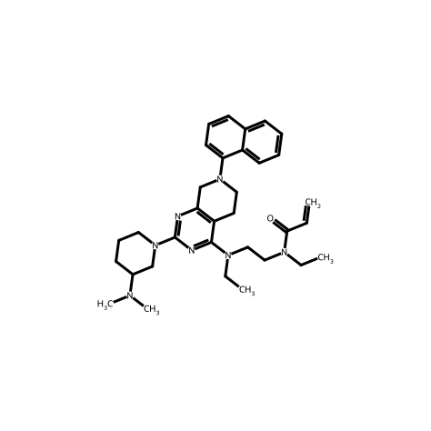 C=CC(=O)N(CC)CCN(CC)c1nc(N2CCCC(N(C)C)C2)nc2c1CCN(c1cccc3ccccc13)C2